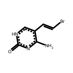 Nc1nc(=O)[nH]cc1C=CBr